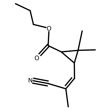 CCCOC(=O)C1C(C=C(C)C#N)C1(C)C